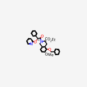 CCOC(=O)[C@@H]1Cc2c(ccc(OC)c2OCc2ccccc2)CN1C(=O)[C@@H](Oc1ccccn1)c1ccccc1